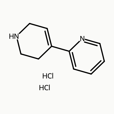 C1=C(c2ccccn2)CCNC1.Cl.Cl